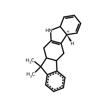 CC1(C)c2ccccc2C2CC3=C(CC21)NC1C=CC=C[C@H]31